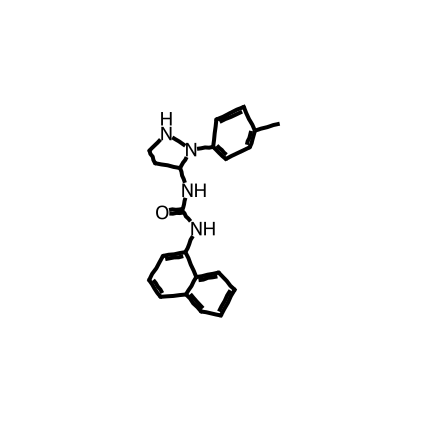 Cc1ccc(N2NCCC2NC(=O)Nc2cccc3ccccc23)cc1